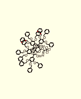 N=C(O[C@H]1O[C@H](C(O)C(=O)c2cc(OCc3ccccc3)c(OCc3ccccc3)c(OCc3ccccc3)c2)[C@](O)(C(=O)c2cc(OCc3ccccc3)c(OCc3ccccc3)c(OCc3ccccc3)c2)[C@@](O)(C(=O)c2cc(OCc3ccccc3)c(OCc3ccccc3)c(OCc3ccccc3)c2)[C@]1(O)C(=O)c1cc(OCc2ccccc2)c(OCc2ccccc2)c(OCc2ccccc2)c1)C(Cl)(Cl)Cl